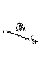 CC(C)CCCCCCCCCCCCCCC(=O)O.CC(C)[O][Ti]([O]C(C)C)[O]C(C)C